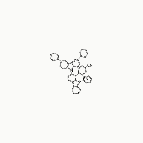 N#Cc1ccc(-c2c(-n3c4ccc(-c5ccccc5)cc4c4cc(-c5ccccc5)ccc43)ccc3c4ccccc4n(-c4ccccc4)c23)c(C#N)c1